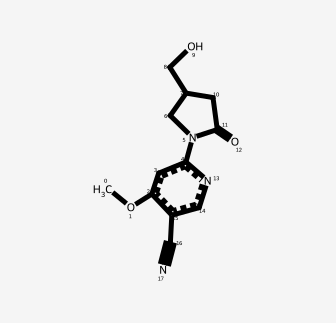 COc1cc(N2CC(CO)CC2=O)ncc1C#N